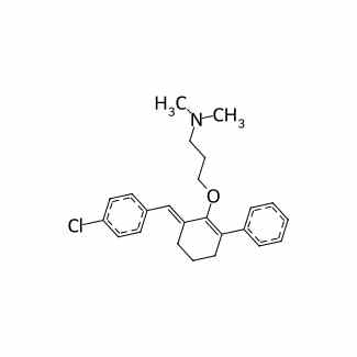 CN(C)CCCOC1=C(c2ccccc2)CCCC1=Cc1ccc(Cl)cc1